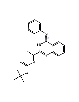 CC(NC(=O)OC(C)(C)C)c1nc2ccccc2/c(=N/c2ccccc2)[nH]1